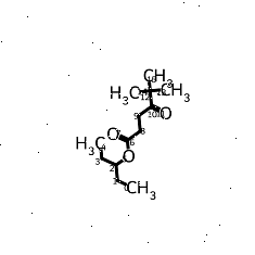 CCC(CC)OC(=O)CCC(=O)C(C)(C)C